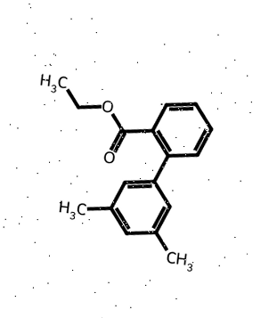 CCOC(=O)c1[c]cccc1-c1cc(C)cc(C)c1